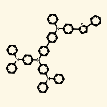 c1ccc(-c2ccc(-c3ccc(N(c4ccccc4)c4ccc(-c5ccc(N(c6ccc(N(c7ccccc7)c7ccccc7)cc6)c6ccc(N(c7ccccc7)c7ccccc7)cc6)cc5)cc4)cc3)s2)cc1